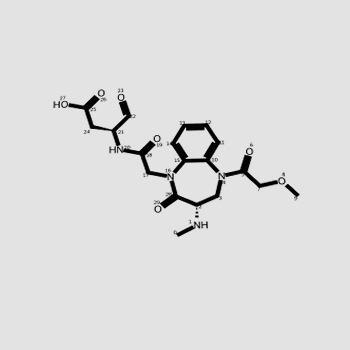 CN[C@H]1CN(C(=O)COC)c2ccccc2N(CC(=O)N[C@H](C=O)CC(=O)O)C1=O